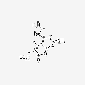 Cc1c(CC(=O)O)c(=O)oc2cc(N)cc(C(=O)CN)c12